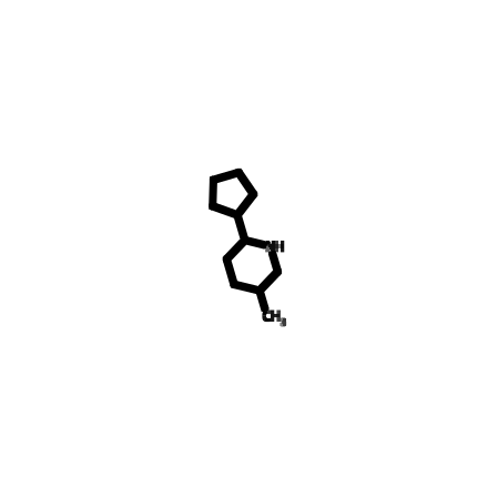 CC1CCC(C2CCCC2)NC1